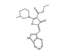 CCOC(=O)C1=C(N2CCCC(C)C2)O/C(=C\c2c[nH]c3ncccc23)C1=O